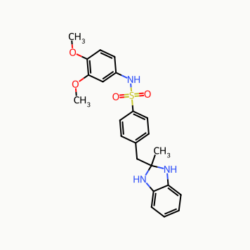 COc1ccc(NS(=O)(=O)c2ccc(CC3(C)Nc4ccccc4N3)cc2)cc1OC